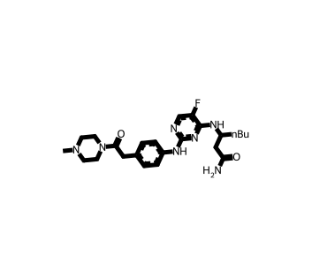 CCCCC(CC(N)=O)Nc1nc(Nc2ccc(CC(=O)N3CCN(C)CC3)cc2)ncc1F